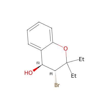 CCC1(CC)Oc2ccccc2[C@H](O)[C@H]1Br